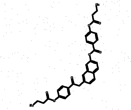 CCC(C)CCC(=O)Oc1ccc(C(=O)Cc2ccc3ccc(OC(=O)c4ccc(OC(=O)CCC(C)CC)cc4)cc3c2)cc1